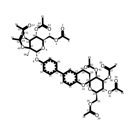 CC(=O)OC[C@H]1O[C@H](Oc2ccc(-c3ccc4c(c3)CC[C@]3(O4)O[C@H](COC(C)=O)[C@@H](OC(C)=O)[C@H](OC(C)=O)[C@@H]3OC(C)=O)cc2)[C@@](C)(OC(C)=O)[C@@H](OC(C)=O)[C@@H]1OC(C)=O